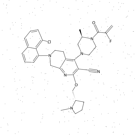 C=C(F)C(=O)N1CCN(c2c(C#N)c(OC[C@@H]3CCCN3C)nc3c2CCN(c2cccc4cccc(Cl)c24)C3)C[C@H]1C